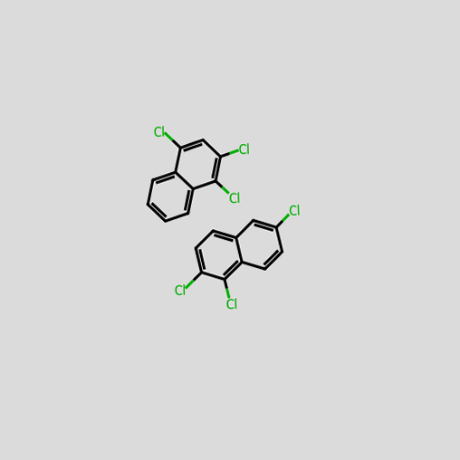 Clc1cc(Cl)c2ccccc2c1Cl.Clc1ccc2c(Cl)c(Cl)ccc2c1